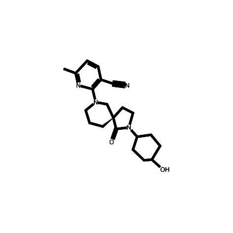 Cc1ccc(C#N)c(N2CCC[C@]3(CCN(C4CCC(O)CC4)C3=O)C2)n1